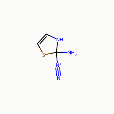 N#[N+]C1(N)NC=CS1